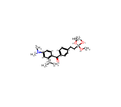 CO[Si](CCc1ccc(C(=O)c2ccc(N(C)C)cc2[SiH](C)C)cc1)(OC)OC